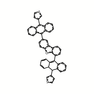 C1=CC2=C(c3cccc4c3oc3ccc(-c5c6ccccc6c(-c6ccsc6)c6ccccc56)cc34)c3ccccc3C(c3ccsc3)C2C=C1